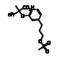 CCCC(C)(Oc1cccc(CCCOS(C)(=O)=O)c1)C(=O)O